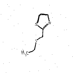 CCSCC1=NCCS1